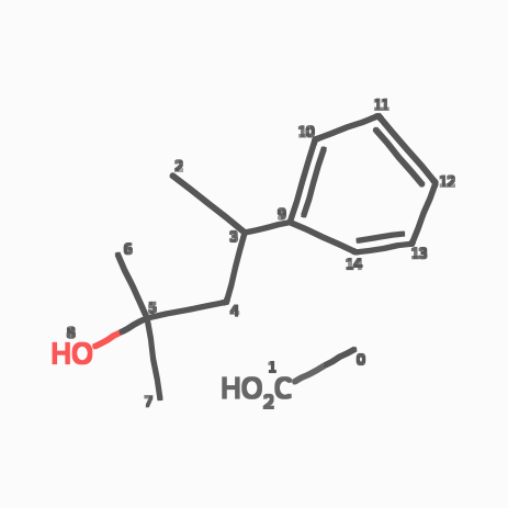 CC(=O)O.CC(CC(C)(C)O)c1ccccc1